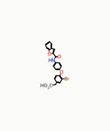 O=C(O)Cc1ccc(Oc2ccc(NC(=O)c3cc4ccccc4o3)cc2)c(Br)c1